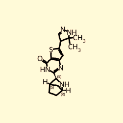 CC1(C)NN=CC1c1cc2nc([C@H]3N[C@@H]4CC[C@H]3C4)[nH]c(=O)c2s1